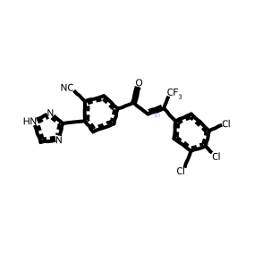 N#Cc1cc(C(=O)/C=C(/c2cc(Cl)c(Cl)c(Cl)c2)C(F)(F)F)ccc1-c1nc[nH]n1